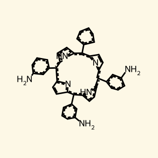 Nc1cccc(-c2c3nc(c(-c4cccc(N)c4)c4ccc([nH]4)c(-c4cccc(N)c4)c4nc(c(-c5ccccc5)c5ccc2[nH]5)C=C4)C=C3)c1